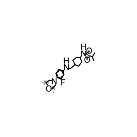 CC(C)S(=O)(=O)NC1CCC(CNc2ccc(N3C[C@@H](C)O[C@@H](C)C3)c(F)c2)CC1